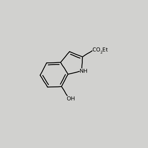 CCOC(=O)c1cc2cccc(O)c2[nH]1